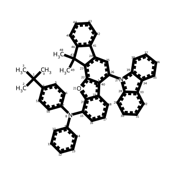 CC(C)(C)c1ccc(N(c2ccccc2)c2cccc3c2oc2c4c(cc(-n5c6ccccc6c6ccccc65)c23)-c2ccccc2C4(C)C)cc1